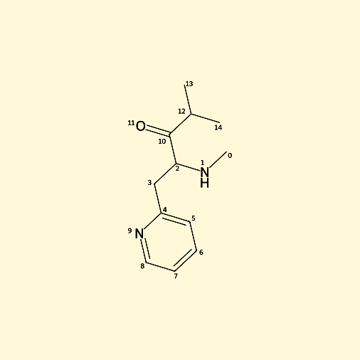 CNC(Cc1ccccn1)C(=O)C(C)C